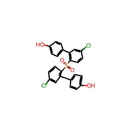 O=S(=O)(c1ccc(Cl)cc1-c1ccc(O)cc1)c1ccc(Cl)cc1-c1ccc(O)cc1